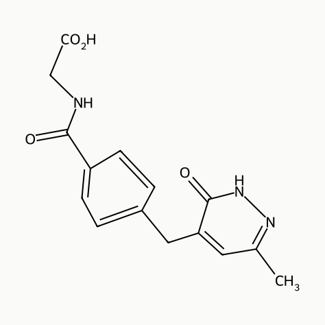 Cc1cc(Cc2ccc(C(=O)NCC(=O)O)cc2)c(=O)[nH]n1